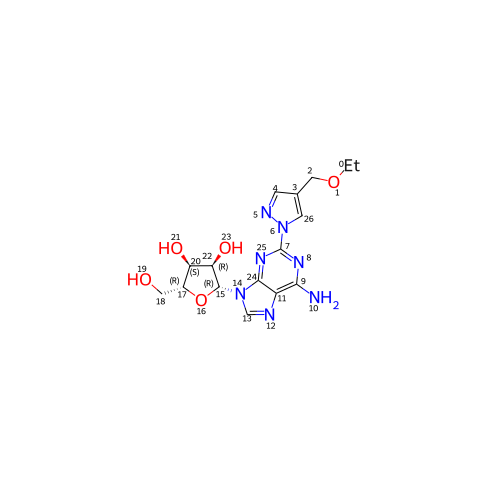 CCOCc1cnn(-c2nc(N)c3ncn([C@@H]4O[C@H](CO)[C@@H](O)[C@H]4O)c3n2)c1